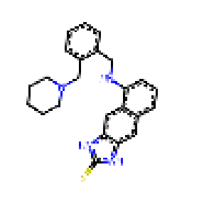 S=c1[nH]c2cc3cccc(NCc4ccccc4CN4CCCCC4)c3cc2[nH]1